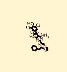 C[C@]1(c2cc(Cl)c(O)c(Cl)c2)C(=O)Nc2nc(-c3cn4ccnc4c(CC4CCCCC4)n3)nc(N)c21